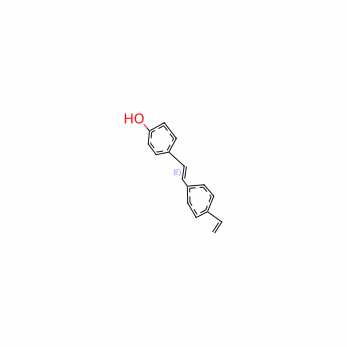 C=Cc1ccc(/C=C/c2ccc(O)cc2)cc1